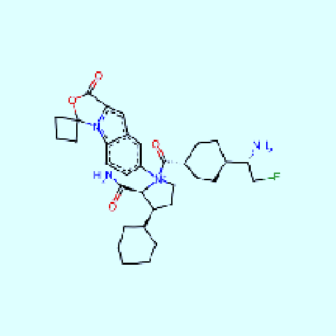 NC(=O)[C@@H]1[C@H](C2CCCCC2)CC[N+]1(c1ccc2c(c1)cc1n2C2(CCC2)OC1=O)C(=O)[C@H]1CC[C@H]([C@H](N)CF)CC1